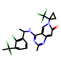 Cc1nc(NC(C)c2cccc(C(C)(F)F)c2F)c2cn(C3(C(F)(F)F)CC3)c(=O)cc2n1